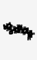 CO[C@H]1CCCN(C(=O)c2cnc3c(ccn3-c3ccc(-c4ncn[nH]4)nc3)c2)C1